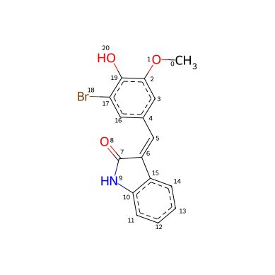 COc1cc(C=C2C(=O)Nc3ccccc32)cc(Br)c1O